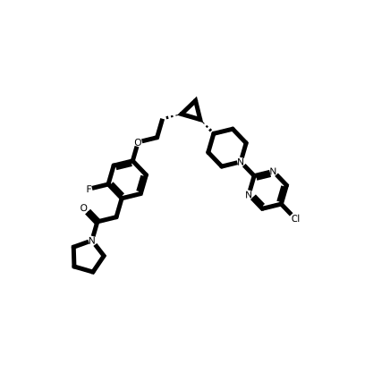 O=C(Cc1ccc(OCC[C@@H]2C[C@@H]2C2CCN(c3ncc(Cl)cn3)CC2)cc1F)N1CCCC1